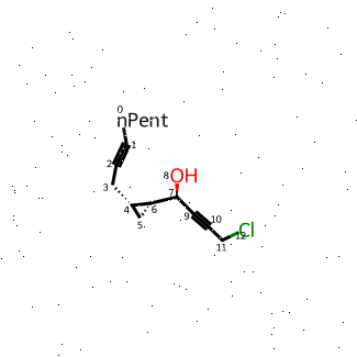 CCCCCC#CC[C@H]1C[C@H]1[C@@H](O)C#CCCl